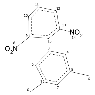 Cc1cccc(C)c1.O=[N+]([O-])c1cccc([N+](=O)[O-])c1